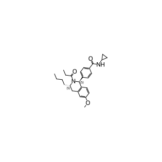 CCCC[C@H]1Cc2cc(OC)ccc2[C@H](c2ccc(C(=O)NC3CC3)cc2)N1C(=O)CC